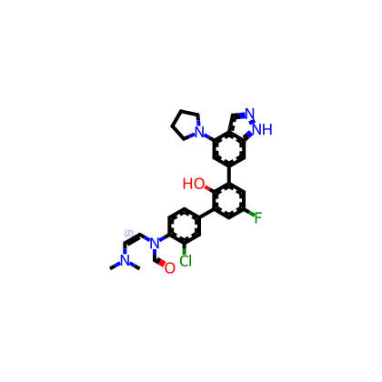 CN(C)/C=C\N(C=O)c1ccc(-c2cc(F)cc(-c3cc(N4CCCC4)c4cn[nH]c4c3)c2O)cc1Cl